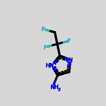 Nc1cnc(C(F)(F)CF)[nH]1